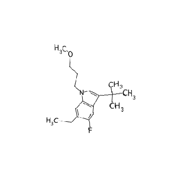 CCc1cc2c(cc1F)c(C(C)(C)C)cn2CCCOC